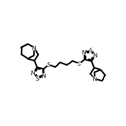 C(CCSc1nsnc1C1CN2CCC1C2)CSc1nsnc1C1CN2CCCC1C2